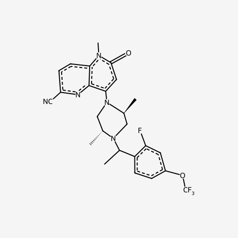 CC(c1ccc(OC(F)(F)F)cc1F)N1C[C@H](C)N(c2cc(=O)n(C)c3ccc(C#N)nc23)C[C@H]1C